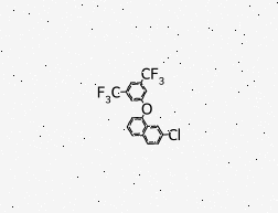 FC(F)(F)c1cc(Oc2cccc3ccc(Cl)cc23)cc(C(F)(F)F)c1